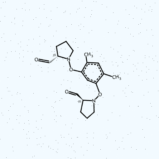 Cc1cc(C)c(ON2CCC[C@H]2C=O)cc1ON1CCC[C@H]1C=O